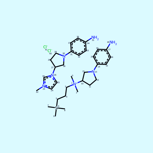 C[N+](C)(CCC[Si](C)(C)C)C1CCN(c2ccc(N)cc2)C1.C[n+]1ccn(C2CCN(c3ccc(N)cc3)C2)c1.[Cl-].[Cl-]